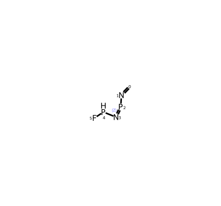 C=N/P=N\PF